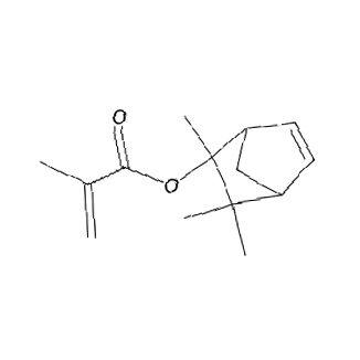 C=C(C)C(=O)OC1(C)C2C=CC(C2)C1(C)C